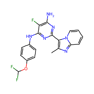 Cc1nc2ccccn2c1-c1nc(N)c(F)c(Nc2ccc(OC(F)F)cc2)n1